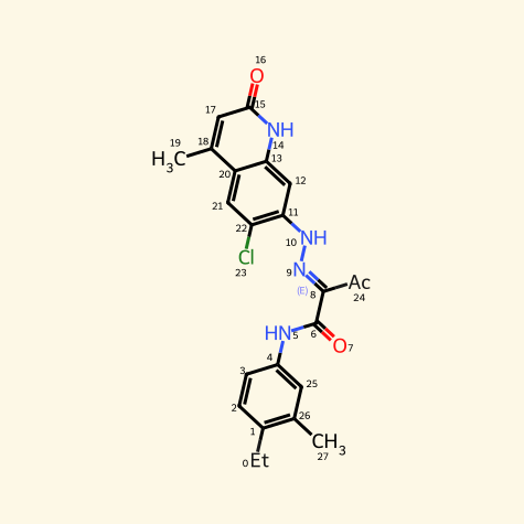 CCc1ccc(NC(=O)/C(=N/Nc2cc3[nH]c(=O)cc(C)c3cc2Cl)C(C)=O)cc1C